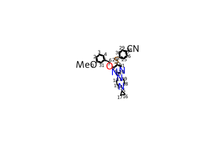 COc1cccc(COc2nc(N3CCN(C4CC4)CC3)ncc2Sc2ccc(C#N)cc2)c1